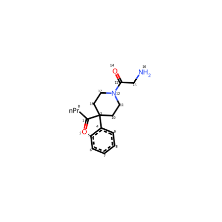 CCCC(=O)C1(c2ccccc2)CCN(C(=O)CN)CC1